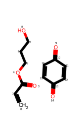 C=CC(=O)OCCCO.O=C1C=CC(=O)C=C1